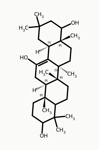 CC1(C)CC(O)[C@]2(C)CC[C@]3(C)C(=C(O)C[C@@H]4[C@@]5(C)CCC(O)C(C)(C)C5CC[C@]43C)[C@H]2C1